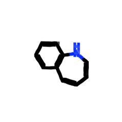 [c]1cccc2c1NC=CC=C2